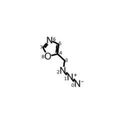 [N-]=[N+]=NCc1cnco1